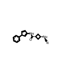 N#CN[C@H]1C[C@@H](C(=O)NC2=CC(c3ccccc3)C=C2)C1